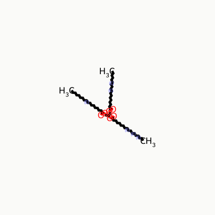 CC/C=C/C/C=C/C/C=C/CCCCCCCC(=O)OC(COC(=O)CCCCCCC/C=C/C/C=C/CCCCC)COC(=O)CCCCCCC/C=C/CCCCCCCC